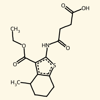 CCOC(=O)c1c(NC(=O)CCC(=O)O)sc2c1C(C)CCC2